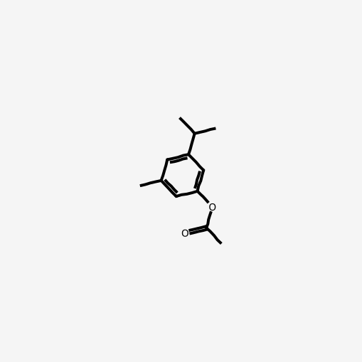 CC(=O)Oc1cc(C)cc(C(C)C)c1